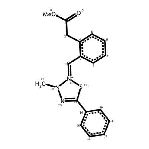 COC(=O)Cc1ccccc1C=[N+]1SC(c2ccccc2)=NN1C